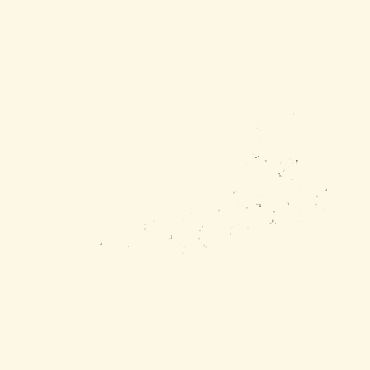 CCCCCCCC(=O)Oc1ccc(-c2ccc(OC(=O)c3ccccc3OC(=O)[C@@H](Cl)[C@@H](C)CC)cc2)cc1